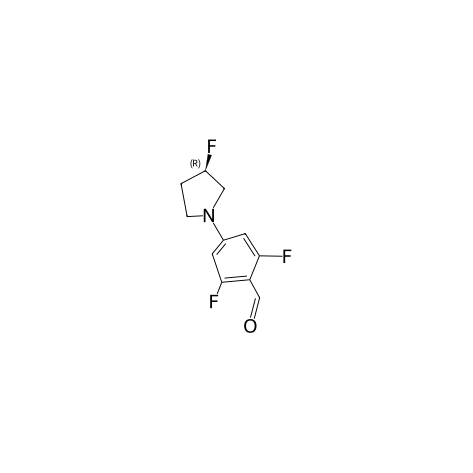 O=Cc1c(F)cc(N2CC[C@@H](F)C2)cc1F